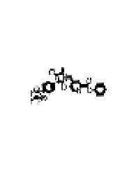 CC1C(=O)N(c2ccc(S(=O)(=O)C(F)(F)F)cc2)C(=O)N1Cc1ccnc(C(=O)Oc2ccccc2)c1